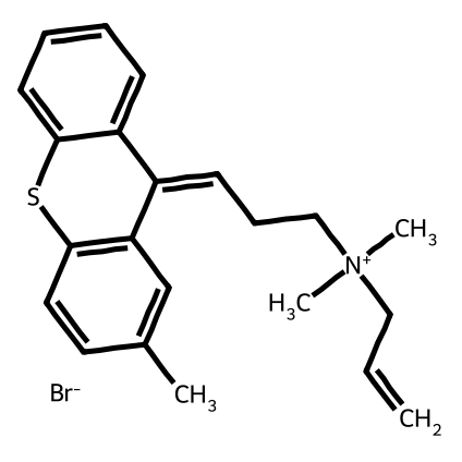 C=CC[N+](C)(C)CCC=C1c2ccccc2Sc2ccc(C)cc21.[Br-]